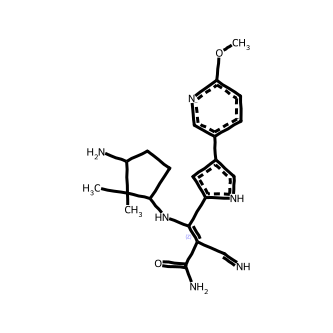 COc1ccc(-c2c[nH]c(/C(NC3CCC(N)C3(C)C)=C(\C=N)C(N)=O)c2)cn1